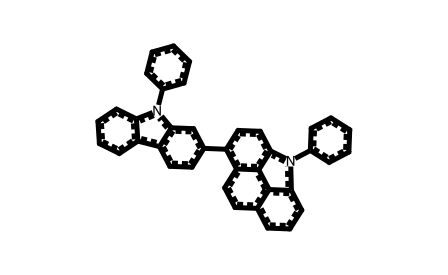 c1ccc(-n2c3ccccc3c3ccc(-c4ccc5c6c4ccc4cccc(c46)n5-c4ccccc4)cc32)cc1